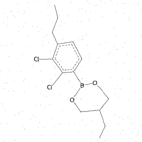 CCCc1ccc(B2OCC(CC)CO2)c(Cl)c1Cl